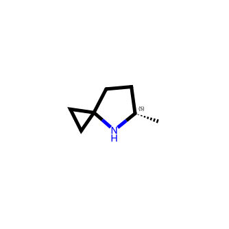 C[C@H]1CCC2(CC2)N1